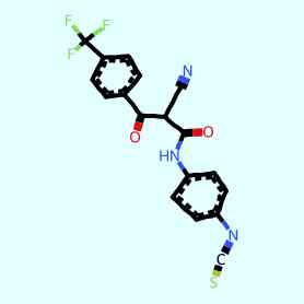 N#CC(C(=O)Nc1ccc(N=C=S)cc1)C(=O)c1ccc(C(F)(F)F)cc1